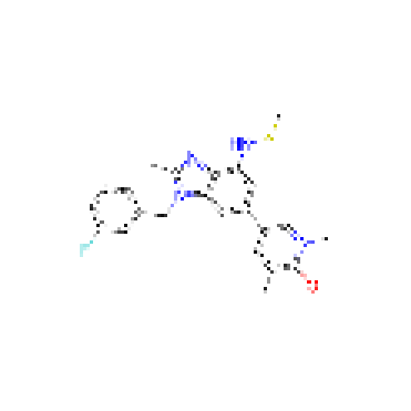 CSNc1cc(-c2cc(C)c(=O)n(C)c2)cc2c1nc(C)n2Cc1cccc(F)c1